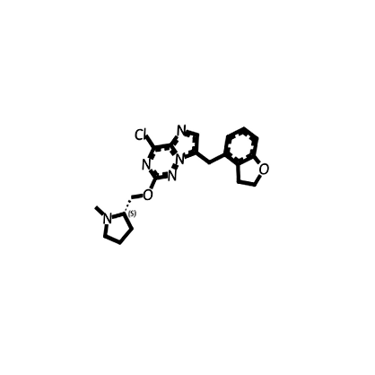 CN1CCC[C@H]1COc1nc(Cl)c2ncc(Cc3cccc4c3CCO4)n2n1